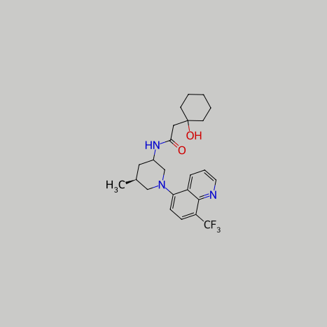 C[C@H]1CC(NC(=O)CC2(O)CCCCC2)CN(c2ccc(C(F)(F)F)c3ncccc23)C1